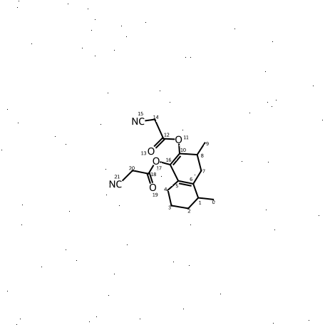 CC1CCCC2=C1CC(C)C(OC(=O)CC#N)=C2OC(=O)CC#N